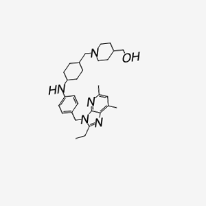 CCc1nc2c(C)cc(C)nc2n1Cc1ccc(NC2CCC(CN3CCC(CO)CC3)CC2)cc1